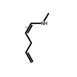 C=CC/C=C\NC